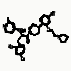 Cc1cc(N[C@H](Cc2ccc(Cl)cc2Cl)C(=O)N2CCC(c3ccc(Cl)cc3OCCN3CCCC3)CC2)ccn1